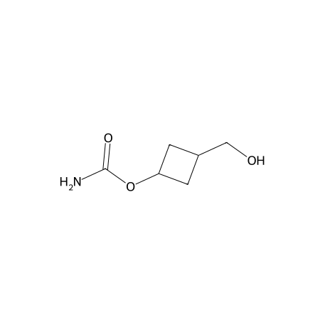 NC(=O)OC1CC(CO)C1